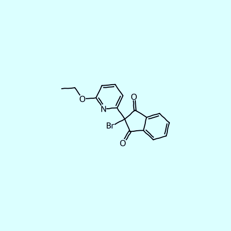 CCOc1cccc(C2(Br)C(=O)c3ccccc3C2=O)n1